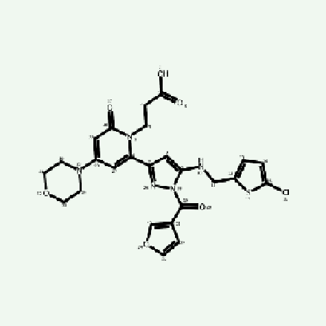 O=C(O)CCn1c(-c2cc(NCc3ccc(Cl)s3)n(C(=O)c3ccoc3)n2)cc(N2CCOCC2)cc1=O